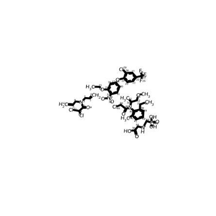 C=CCN(CC=C)C(=O)C(Cl)Cl.CCOc1cc(Oc2ccc(C(F)(F)F)cc2Cl)ccc1[N+](=O)[O-].CCc1cccc(C)c1N(C(=O)CCl)C(C)COC.O=C(O)CNCP(=O)(O)O